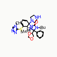 CCC(C)N1C(=O)N(C2(N3CCNCC3)C=CC=C(Sc3nncn3C)C2C)N(OC)C1(c1ccccc1)C1COCO1